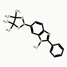 Cn1c(-c2ccccc2)nc2ccc(B3OC(C)(C)C(C)(C)O3)cc21